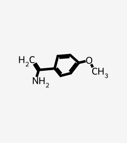 C=C(N)c1ccc(OC)cc1